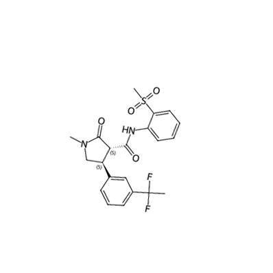 CN1C[C@H](c2cccc(C(C)(F)F)c2)[C@@H](C(=O)Nc2ccccc2S(C)(=O)=O)C1=O